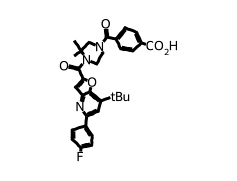 CC(C)(C)c1cc(-c2ccc(F)cc2)nc2cc(C(=O)N3CCN(C(=O)c4ccc(C(=O)O)cc4)CC3(C)C)oc12